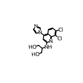 OCC(CO)Nc1cc(-n2ccnc2)c2ccc(Cl)c(Cl)c2n1